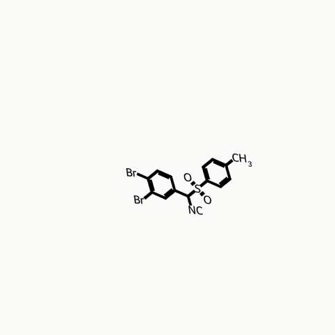 [C-]#[N+]C(c1ccc(Br)c(Br)c1)S(=O)(=O)c1ccc(C)cc1